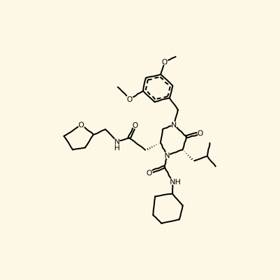 COc1cc(CN2C[C@@H](CC(=O)NCC3CCCO3)N(C(=O)NC3CCCCC3)[C@@H](CC(C)C)C2=O)cc(OC)c1